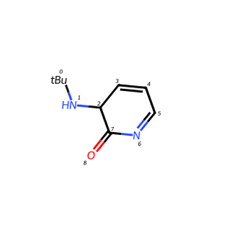 CC(C)(C)NC1C=CC=NC1=O